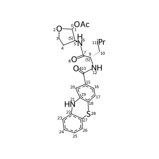 CC(=O)OC1OCC[C@@H]1NC(=O)[C@H](CC(C)C)NC(=O)c1ccc2c(c1)Nc1ccccc1S2